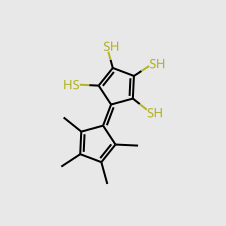 CC1=C(C)C(=C2C(S)=C(S)C(S)=C2S)C(C)=C1C